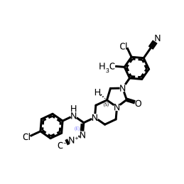 [C-]#[N+]/N=C(\Nc1ccc(Cl)cc1)N1CCN2C(=O)N(c3ccc(C#N)c(Cl)c3C)C[C@@H]2C1